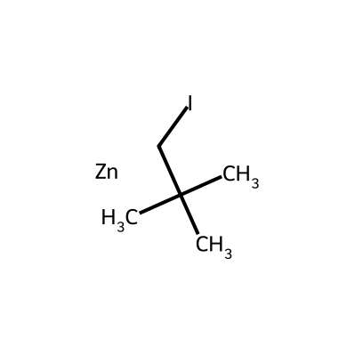 CC(C)(C)CI.[Zn]